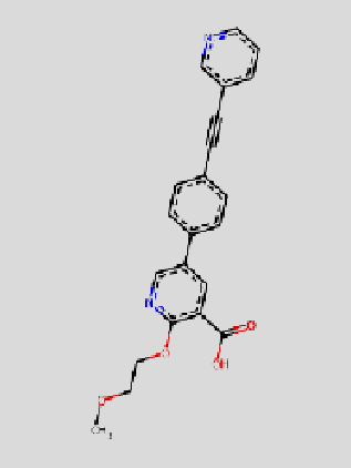 COCCOc1ncc(-c2ccc(C#Cc3cccnc3)cc2)cc1C(=O)O